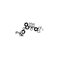 CC(C)c1nnc2ccc(O[C@H]3CC[C@H](NC(=O)Nc4ccc(Cl)c(C(F)(F)F)c4)c4ccccc43)cn12